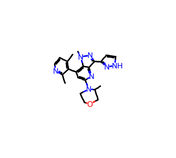 Cc1ccnc(C)c1-c1cc(N2CCOCC2C)nc2c(-c3cc[nH]n3)nn(C)c12